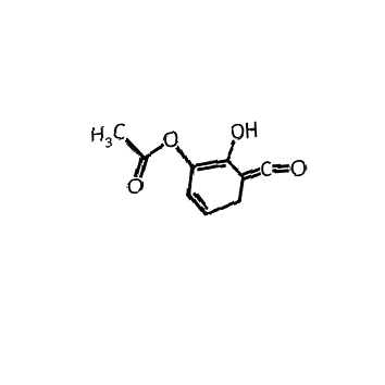 CC(=O)OC1=C(O)C(=C=O)CC=C1